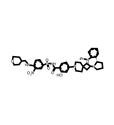 CC(C)Nc1ccccc1[C@@H]1CCCN1C1CC2(CCN(c3ccc(C(=O)NS(=O)(=O)c4ccc(NCC5CCOCC5)c([N+](=O)[O-])c4)cc3)CC2)C1.Cl